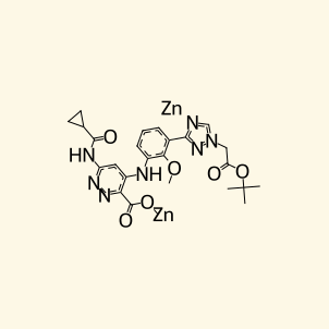 COc1c(Nc2cc(NC(=O)C3CC3)nnc2C(=O)[O][Zn])cccc1-c1ncn(CC(=O)OC(C)(C)C)n1.[Zn]